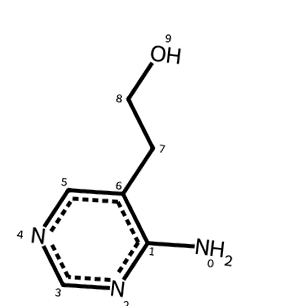 Nc1ncncc1CCO